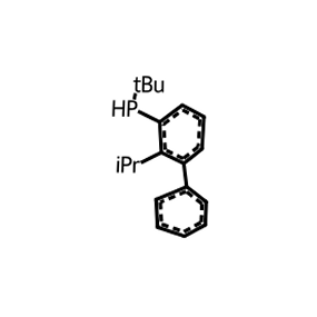 CC(C)c1c(PC(C)(C)C)cccc1-c1ccccc1